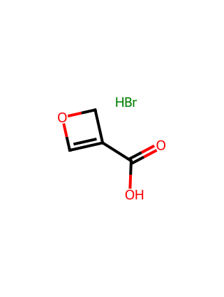 Br.O=C(O)C1=COC1